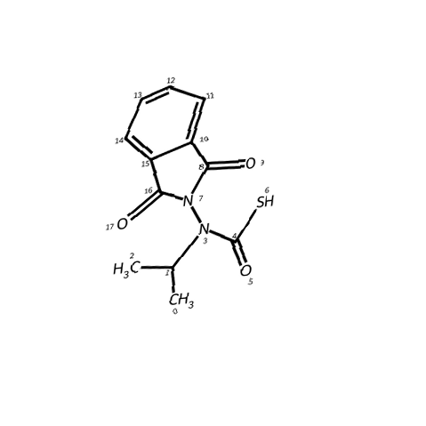 CC(C)N(C(=O)S)N1C(=O)c2ccccc2C1=O